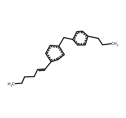 CCCC/C=C/c1ccc(Cc2ccc(CCC)cc2)cc1